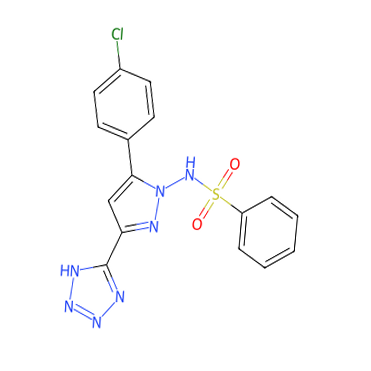 O=S(=O)(Nn1nc(-c2nnn[nH]2)cc1-c1ccc(Cl)cc1)c1ccccc1